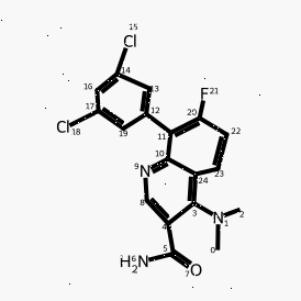 CN(C)c1c(C(N)=O)cnc2c(-c3cc(Cl)cc(Cl)c3)c(F)ccc12